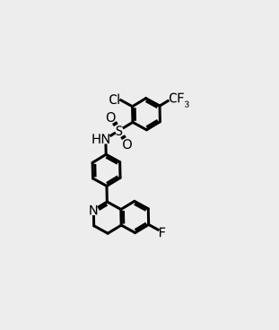 O=S(=O)(Nc1ccc(C2=NCCc3cc(F)ccc32)cc1)c1ccc(C(F)(F)F)cc1Cl